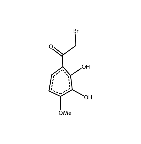 COc1ccc(C(=O)CBr)c(O)c1O